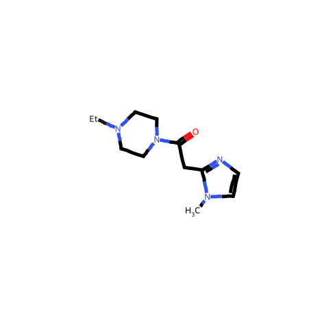 CCN1CCN(C(=O)Cc2nccn2C)CC1